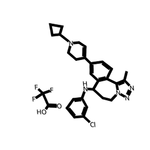 Cc1nnn2c1-c1ccc(C3=CCN(C4CCC4)CC3)cc1C(Nc1cccc(Cl)c1)CC2.O=C(O)C(F)(F)F